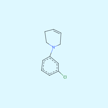 Clc1cccc(N2CC=CCC2)c1